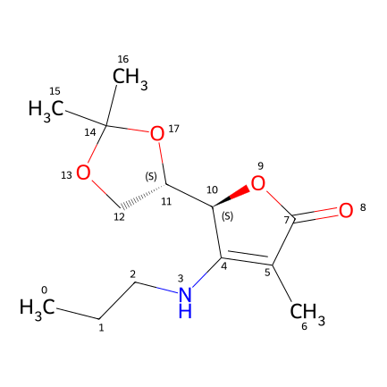 CCCNC1=C(C)C(=O)O[C@@H]1[C@@H]1COC(C)(C)O1